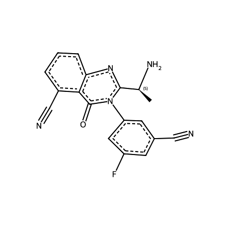 C[C@H](N)c1nc2cccc(C#N)c2c(=O)n1-c1cc(F)cc(C#N)c1